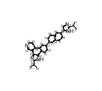 CC(C)c1ncc(-c2ccc3cc(-c4ccc5c(c4)c4ccncc4c4nc(C(C)C)[nH]c54)ccc3c2)[nH]1